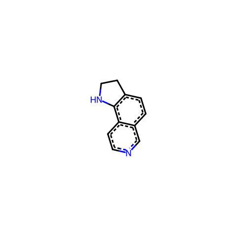 c1cc2c3c(ccc2cn1)CCN3